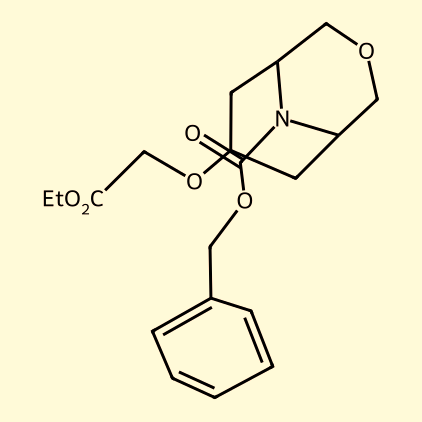 CCOC(=O)COC1CC2COCC(C1)N2C(=O)OCc1ccccc1